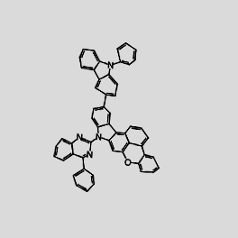 c1ccc(-c2nc(-n3c4ccc(-c5ccc6c(c5)c5ccccc5n6-c5ccccc5)cc4c4c5cccc6c5c(cc43)Oc3ccccc3-6)nc3ccccc23)cc1